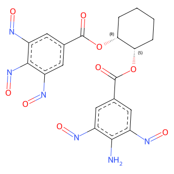 Nc1c(N=O)cc(C(=O)O[C@H]2CCCC[C@H]2OC(=O)c2cc(N=O)c(N=O)c(N=O)c2)cc1N=O